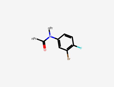 CCCC(=O)N(CCC)c1ccc(F)c(Br)c1